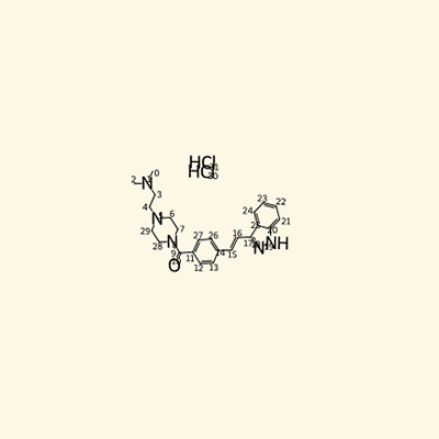 CN(C)CCN1CCN(C(=O)c2ccc(C=Cc3n[nH]c4ccccc34)cc2)CC1.Cl.Cl